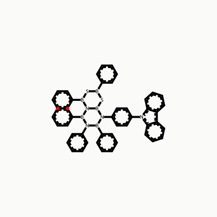 c1ccc(B2SB(c3ccccc3)N3B(S2)N(c2ccc(-n4c5ccccc5c5ccccc54)cc2)B(c2ccccc2)N(c2ccccc2)B3c2ccccc2)cc1